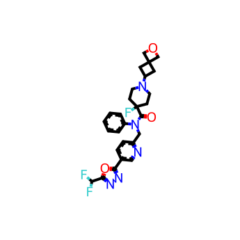 O=C(N(Cc1ccc(-c2nnc(C(F)F)o2)cn1)c1ccccc1)C1(F)CCN(C2CC3(COC3)C2)CC1